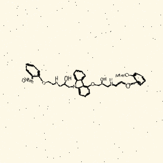 COc1ccccc1OCCNCC(O)COc1cccc2c1c1ccccc1n2CC(O)CNCCOc1ccccc1OC